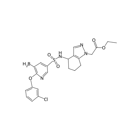 Bc1cc(S(=O)(=O)NC2CCCc3c2cnn3CC(=O)OCC)cnc1Oc1cccc(Cl)c1